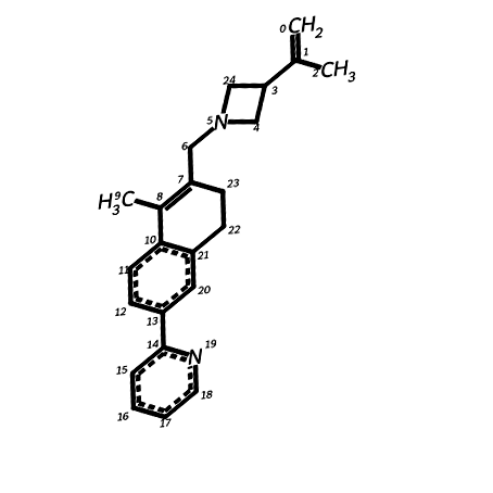 C=C(C)C1CN(CC2=C(C)c3ccc(-c4ccccn4)cc3CC2)C1